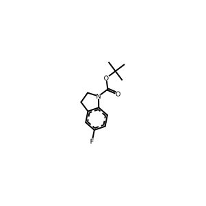 CC(C)(C)OC(=O)N1CCc2cc(F)ccc21